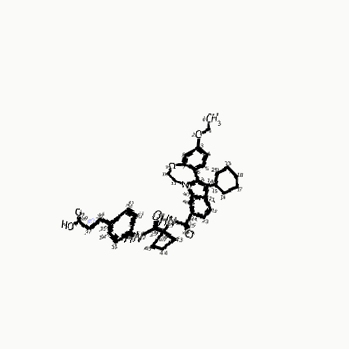 CCOc1ccc2c(c1)OCCn1c-2c(C2CCCCC2)c2ccc(C(=O)NC3(C(=O)Nc4ccc(/C=C/C(=O)O)cc4)CCC3)cc21